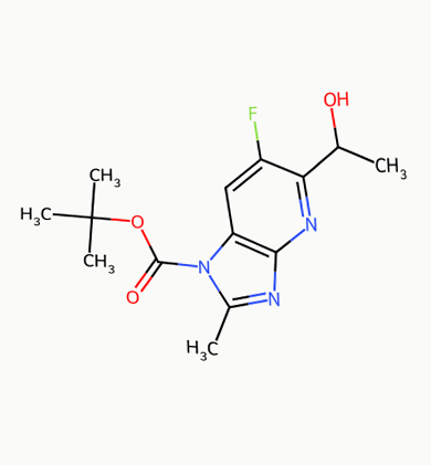 Cc1nc2nc(C(C)O)c(F)cc2n1C(=O)OC(C)(C)C